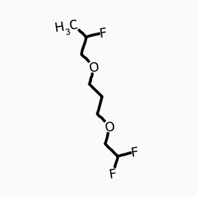 CC(F)COCCCOCC(F)F